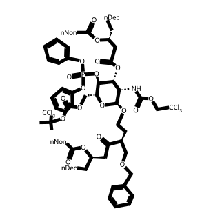 CCCCCCCCCCC[C@H](CC(=O)O[C@@H]1[C@H](NC(=O)OCC(Cl)(Cl)Cl)[C@@H](OCC[C@@H](COCc2ccccc2)C(=O)C[C@@H](CCCCCCCCCCC)OC(=O)CCCCCCCCC)O[C@H](COC(=O)OC(C)(C)C(Cl)(Cl)Cl)[C@H]1OP(=O)(Oc1ccccc1)Oc1ccccc1)OC(=O)CCCCCCCCC